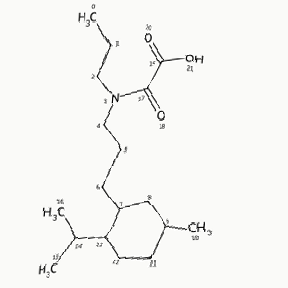 CCCN(CCCC1CC(C)CCC1C(C)C)C(=O)C(=O)O